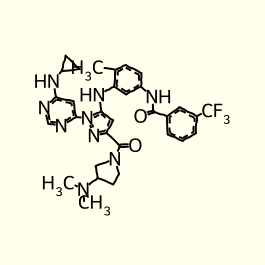 Cc1ccc(NC(=O)c2cccc(C(F)(F)F)c2)cc1Nc1cc(C(=O)N2CCC(N(C)C)C2)nn1-c1cc(NC2CC2)ncn1